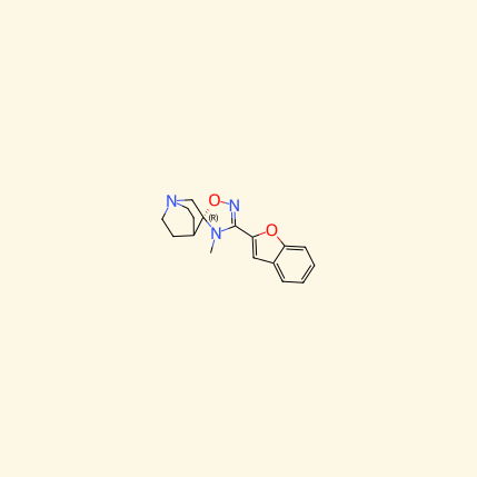 CN1C(c2cc3ccccc3o2)=NO[C@]12CN1CCC2CC1